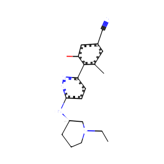 CCN1CCC[C@@H](Nc2ccc(-c3c(C)cc(C#N)cc3O)nn2)C1